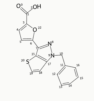 O=C(O)c1ccc(-c2nn(Cc3ccccc3)c3ccsc23)o1